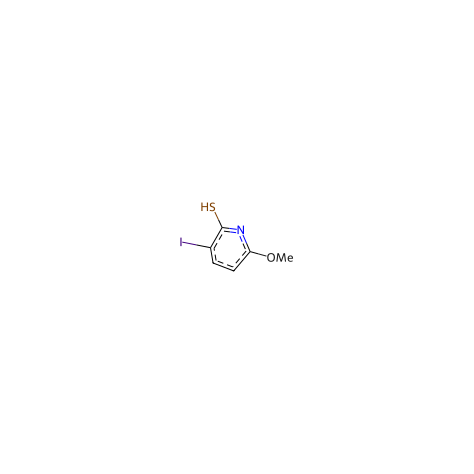 COc1ccc(I)c(S)n1